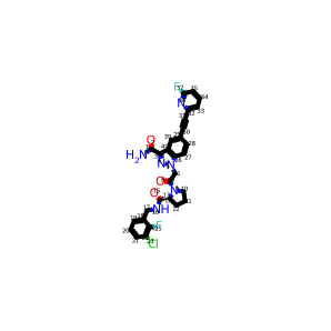 NC(=O)c1nn(CC(=O)N2CCC[C@H]2C(=O)NCc2cccc(Cl)c2F)c2ccc(C#Cc3cccc(F)n3)cc12